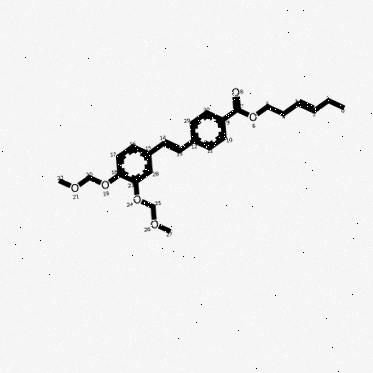 CCC=CCCOC(=O)c1ccc(C=Cc2ccc(OCOC)c(OCOC)c2)cc1